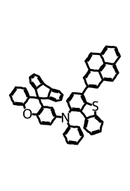 c1ccc(N(c2ccc3c(c2)C2(c4ccccc4O3)c3ccccc3-c3ccccc32)c2ccc(-c3cc4ccc5cccc6ccc(c3)c4c56)c3sc4ccccc4c23)cc1